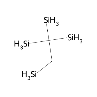 [SiH3]CC([SiH3])([SiH3])[SiH3]